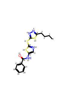 CCCCc1nnc(Sc2ncc(NC(=O)c3ccccc3)s2)s1